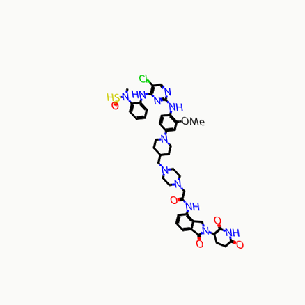 COc1cc(N2CCC(CN3CCN(CC(=O)Nc4cccc5c4CN(C4CCC(=O)NC4=O)C5=O)CC3)CC2)ccc1Nc1ncc(Cl)c(Nc2ccccc2N(C)[SH]=O)n1